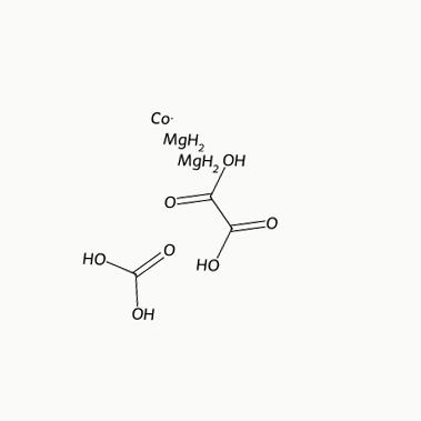 O=C(O)C(=O)O.O=C(O)O.[Co].[MgH2].[MgH2]